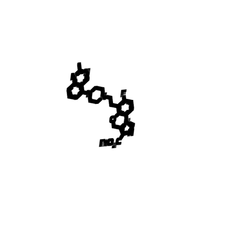 CCOC(=O)c1ncn2c1COc1c-2ccc(F)c1CCN1CCN(c2cccc3nc(C)ncc23)CC1